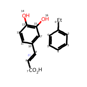 CCc1ccccc1.O=C(O)/C=C/c1ccc(O)c(O)c1